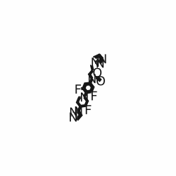 O=C1OC(Cn2ccnn2)CN1c1cc(F)c(N2CCC(n3ccnn3)[C@H](F)C2)c(F)c1